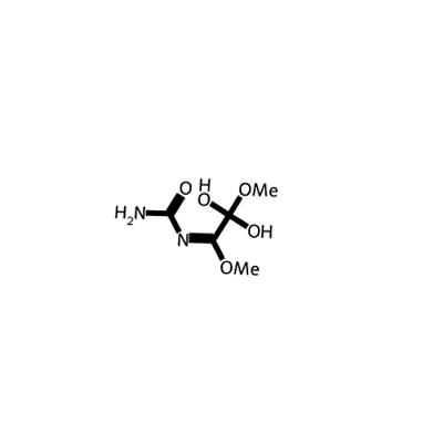 COC(=NC(N)=O)C(O)(O)OC